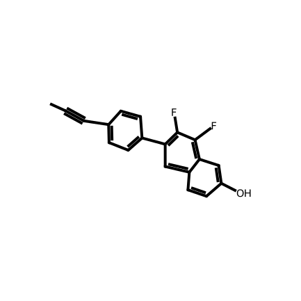 CC#Cc1ccc(-c2cc3ccc(O)cc3c(F)c2F)cc1